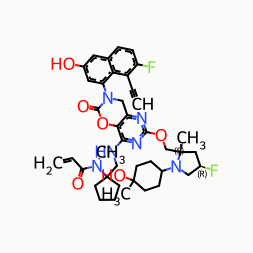 C#Cc1c(F)ccc2cc(O)cc(N3Cc4nc(OC[C@]5(C)C[C@@H](F)CN5C5CCC(C)(O)CC5)nc(NCC5(N(C)C(=O)C=C)CCCC5)c4OC3=O)c12